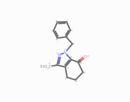 CCOC(=O)c1nn(Cc2ccccc2)c2c1CCCC2=O